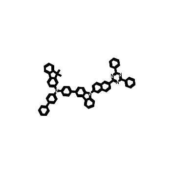 CC1(C)c2ccccc2-c2ccc(N(c3ccc(-c4ccccc4)cc3)c3ccc(-c4ccc5c(c4)c4ccccc4n5-c4ccc5cc(-c6nc(-c7ccccc7)nc(-c7ccccc7)n6)ccc5c4)cc3)cc21